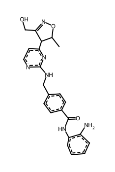 CC1ON=C(CO)C1c1ccnc(NCc2ccc(C(=O)Nc3ccccc3N)cc2)n1